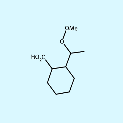 COOC(C)C1CCCCC1C(=O)O